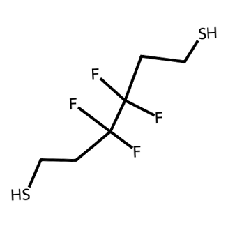 FC(F)(CCS)C(F)(F)CCS